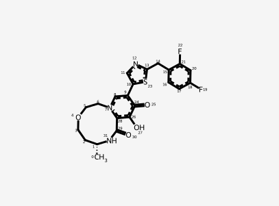 C[C@@H]1CCOCCn2cc(-c3cnc(Cc4ccc(F)cc4F)s3)c(=O)c(O)c2C(=O)N1